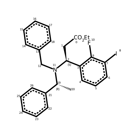 CCOC(=O)C[C@@H](c1cccc(I)c1F)N(Cc1ccccc1)[C@H](C)c1ccccc1